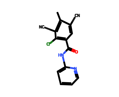 Cc1c(C#N)cc(C(=O)Nc2ccccn2)c(Cl)c1C#N